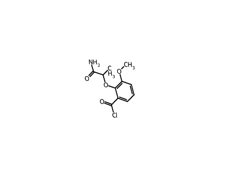 COc1cccc(C(=O)Cl)c1OC(C)C(N)=O